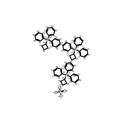 O=P([O-])([O-])[O-].c1ccc([P+](c2ccccc2)(c2ccccc2)C2CCC2)cc1.c1ccc([P+](c2ccccc2)(c2ccccc2)C2CCC2)cc1.c1ccc([P+](c2ccccc2)(c2ccccc2)C2CCC2)cc1